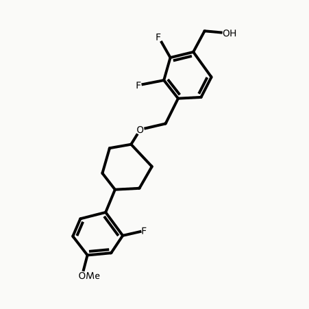 COc1ccc(C2CCC(OCc3ccc(CO)c(F)c3F)CC2)c(F)c1